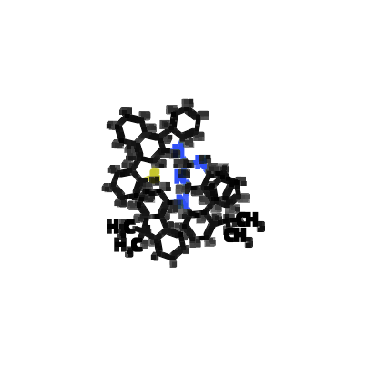 CC1(C)c2ccccc2-c2c(N(c3cccc4c3-c3ccccc3C4(C)C)c3nc(-n4c5ccccc5c5c6ccccc6c6c7ccccc7sc6c54)nc4ccccc34)cccc21